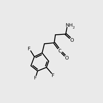 NC(=O)CC(=C=O)Cc1cc(F)c(F)cc1F